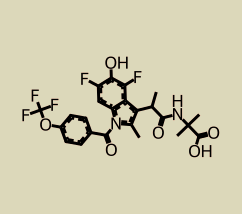 Cc1c(C(C)C(=O)NC(C)(C)C(=O)O)c2c(F)c(O)c(F)cc2n1C(=O)c1ccc(OC(F)(F)F)cc1